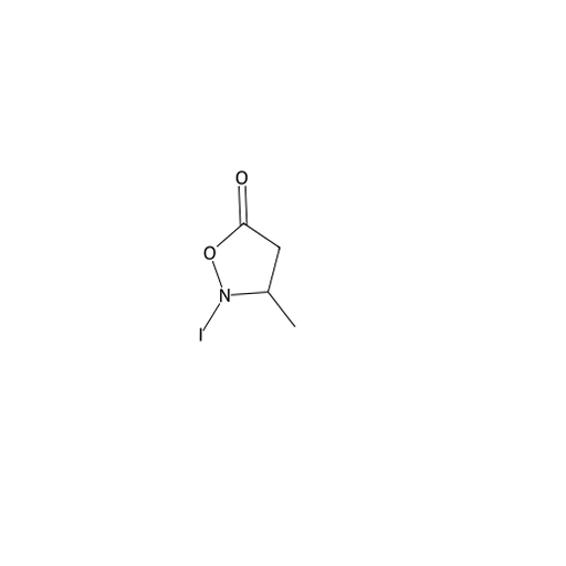 CC1CC(=O)ON1I